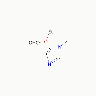 CCOC=O.Cn1ccnc1